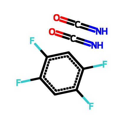 Fc1cc(F)c(F)cc1F.N=C=O.N=C=O